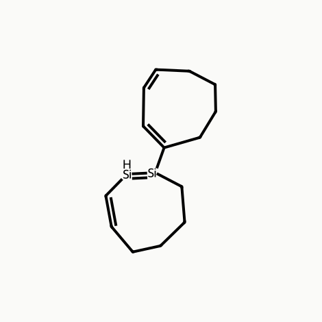 C1=CCCCCC([Si]2=[SiH]C=CCCCC2)=C1